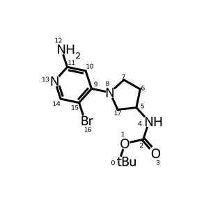 CC(C)(C)OC(=O)NC1CCN(c2cc(N)ncc2Br)C1